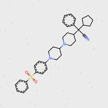 N#CC(c1ccccc1)(C1CCCC1)C1CCN(C2CCN(c3ccc(S(=O)(=O)c4ccccc4)cc3)CC2)CC1